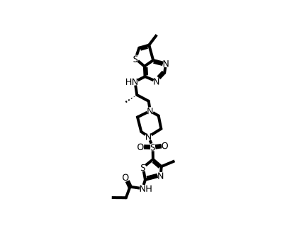 CCC(=O)Nc1nc(C)c(S(=O)(=O)N2CCN(C[C@H](C)Nc3ncnc4c(C)csc34)CC2)s1